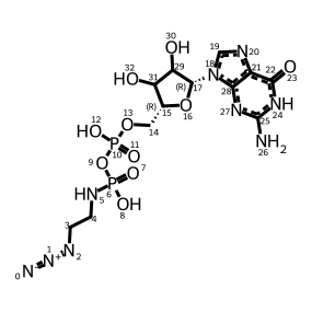 [N-]=[N+]=NCCNP(=O)(O)OP(=O)(O)OC[C@H]1O[C@@H](n2cnc3c(=O)[nH]c(N)nc32)C(O)C1O